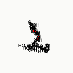 C[C@]12C=CC(=O)C=C1CC[C@@H]1[C@@H]2[C@@H](O)C[C@@]2(C)[C@H]1C[C@H]1O[C@@H](c3ccc(CC45CCC(NC(=O)OCc6ccc(O[C@@H]7O[C@H](C(=O)O)[C@@H](O)[C@H](O)[C@H]7O)c(NC(=O)CCNC(=O)C(=O)CC(=O)N7Cc8ccccc8C#Cc8ccccc87)c6)(CC4)CO5)cc3)O[C@]12C(=O)CO